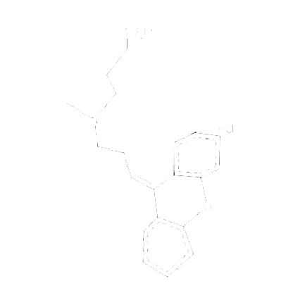 CCOC(=O)CCCN(C)CCC=C1c2ccccc2Oc2ccccc21.Cl